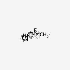 [CH2]CC(Cl)C(F)N1CCN(c2ncccn2)CC1